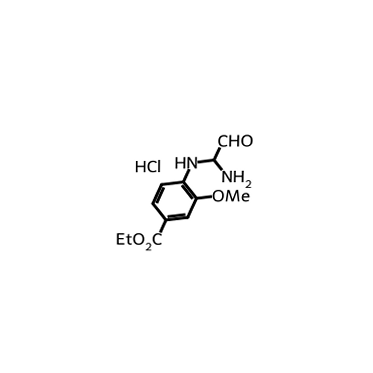 CCOC(=O)c1ccc(NC(N)C=O)c(OC)c1.Cl